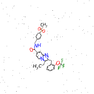 CCc1c(Cc2ccccc2OC(F)(F)F)nc2cc(C(=O)NCc3ccc(S(=O)(=O)CC)cc3)ccn12